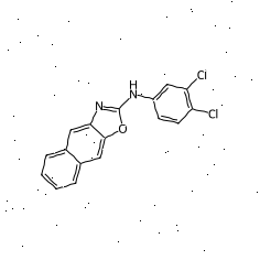 Clc1ccc(Nc2nc3cc4ccccc4cc3o2)cc1Cl